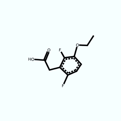 CCOc1ccc(F)c(CC(=O)O)c1F